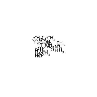 C=C[C@@]1(C)CC(=O)[C@]2(O)[C@@]3(C)[C@@H](OC(=O)CNC(C)C)CCC(C)(C)[C@@H]3[C@H](O)[C@H](OC(=O)C3CCCO3)[C@@]2(C)O1.Cl.O